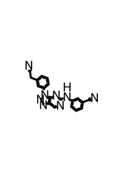 N#CCc1cccc(-n2nnc3cnc(Nc4cccc(C#N)c4)nc32)c1